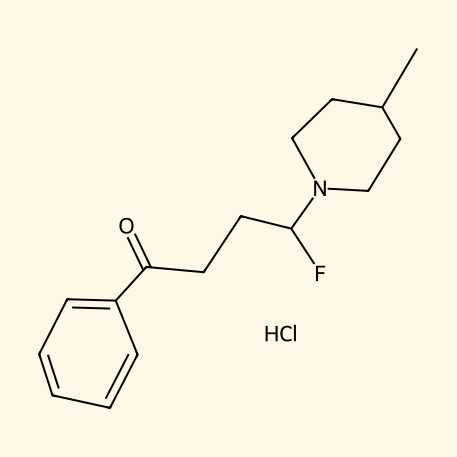 CC1CCN(C(F)CCC(=O)c2ccccc2)CC1.Cl